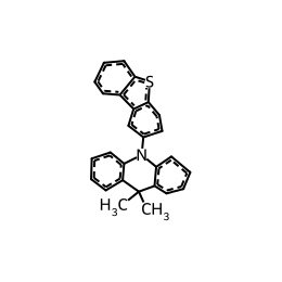 CC1(C)c2ccccc2N(c2ccc3sc4ccccc4c3c2)c2ccccc21